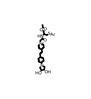 CC(=O)SCC(NC(=O)C[n+]1ccc(/C=C/c2ccc(N3CC(O)C(O)C3)cc2)cc1)C1OC(C)O1